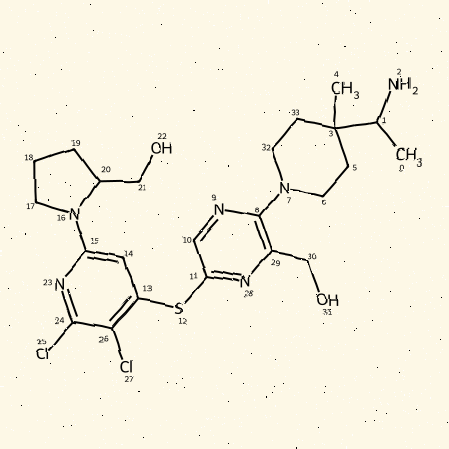 CC(N)C1(C)CCN(c2ncc(Sc3cc(N4CCCC4CO)nc(Cl)c3Cl)nc2CO)CC1